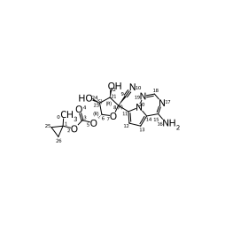 CC1(OC(=O)O[C@H]2O[C@@](C#N)(c3ccc4c(N)ncnn34)[C@H](O)[C@@H]2O)CC1